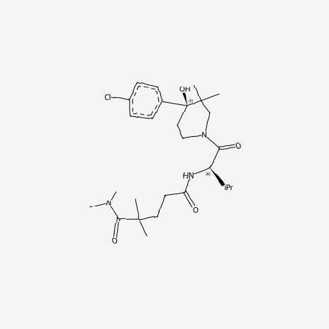 CC(C)[C@@H](NC(=O)CCC(C)(C)C(=O)N(C)C)C(=O)N1CC[C@](O)(c2ccc(Cl)cc2)C(C)(C)C1